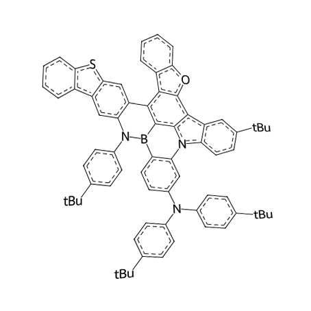 CC(C)(C)c1ccc(N2B3c4ccc(N(c5ccc(C(C)(C)C)cc5)c5ccc(C(C)(C)C)cc5)cc4-n4c5ccc(C(C)(C)C)cc5c5c6oc7ccccc7c6c(c3c54)-c3cc4sc5ccccc5c4cc32)cc1